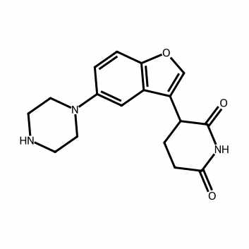 O=C1CCC(c2coc3ccc(N4CCNCC4)cc23)C(=O)N1